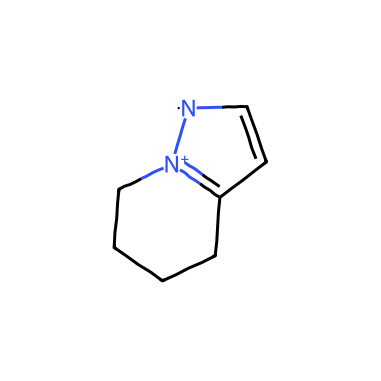 C1=CC2=[N+](CCCC2)[N]1